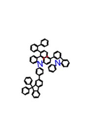 c1ccc(-c2ccccc2-c2ccccc2-c2ccccc2N(c2ccc(-c3ccc4c(c3)C(c3ccccc3)(c3ccccc3)c3ccccc3-4)cc2)c2ccc(-c3cccc4c5ccccc5n(-c5ccccc5)c34)cc2)cc1